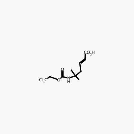 CC(C)(C/C=C/C(=O)O)NC(=O)OCC(Cl)(Cl)Cl